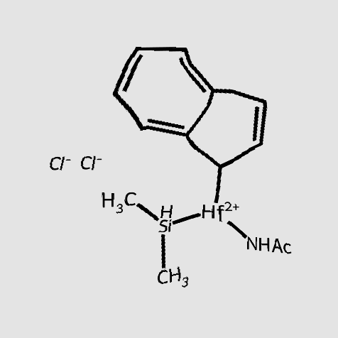 CC(=O)[NH][Hf+2]([CH]1C=Cc2ccccc21)[SiH](C)C.[Cl-].[Cl-]